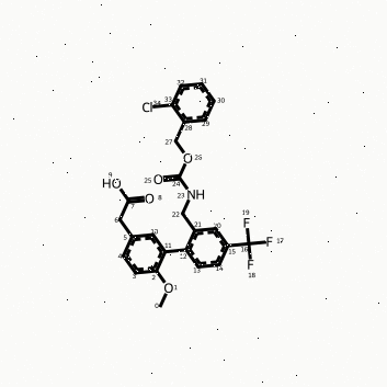 COc1ccc(CC(=O)O)cc1-c1ccc(C(F)(F)F)cc1CNC(=O)OCc1ccccc1Cl